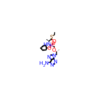 CCSC(=O)[C@H](C)NP(=O)(CO[C@H](C)Cn1cnc2c(N)ncnc21)Oc1ccccc1